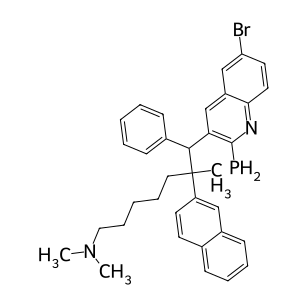 CN(C)CCCCCC(C)(c1ccc2ccccc2c1)C(c1ccccc1)c1cc2cc(Br)ccc2nc1P